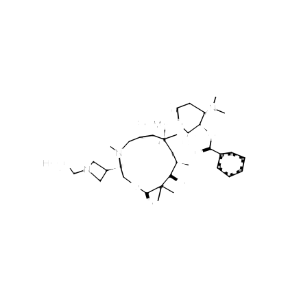 CO[C@]1(C)C[C@@H](C)CN(C)[C@H](C2CN(CC(=O)O)C2)COC(=O)C(C)(C)C(=O)[C@H](C)[C@H]1O[C@@H]1O[C@H](C)C[C@H](N(C)C)[C@H]1OC(=O)c1ccccc1